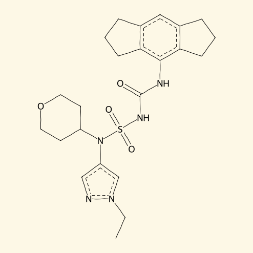 CCn1cc(N(C2CCOCC2)S(=O)(=O)NC(=O)Nc2c3c(cc4c2CCC4)CCC3)cn1